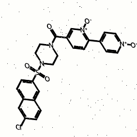 O=C(c1ccc(-c2cc[n+]([O-])cc2)[n+]([O-])c1)N1CCN(S(=O)(=O)c2ccc3cc(Cl)ccc3c2)CC1